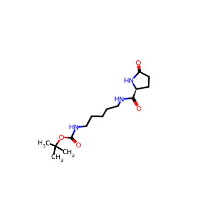 CC(C)(C)OC(=O)NCCCCCNC(=O)[C@@H]1CCC(=O)N1